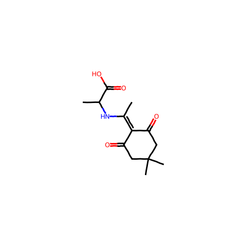 CC(NC(C)C(=O)O)=C1C(=O)CC(C)(C)CC1=O